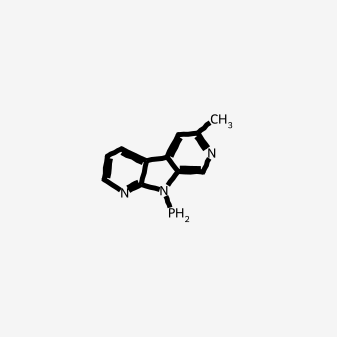 Cc1cc2c3cccnc3n(P)c2cn1